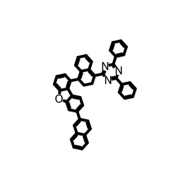 c1ccc(-c2nc(C3=c4ccccc4=C(c4cccc5oc6cc(-c7ccc8ccccc8c7)ccc6c45)CC3)nc(-c3ccccc3)n2)cc1